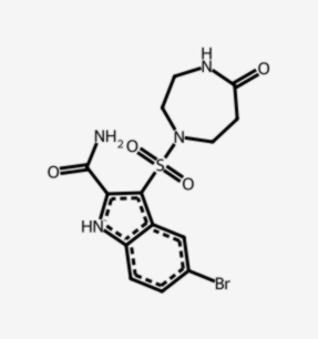 NC(=O)c1[nH]c2ccc(Br)cc2c1S(=O)(=O)N1CCNC(=O)CC1